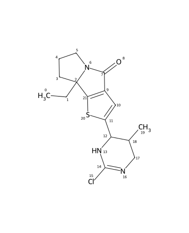 CCC12CCCN1C(=O)c1cc(C3NC(Cl)=NCC3C)sc12